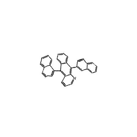 c1ccc2cc(-c3c4ccccc4c(-c4cccc5ccccc45)c4cccnc34)ccc2c1